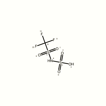 O=S(=O)(O)NS(=O)(=O)C(F)(F)F